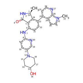 C[C@@H]1NC(=O)c2c(Nc3ccc(N4CCC(O)CC4)cn3)ccc(-c3ccnc4c3ccn4C)c21